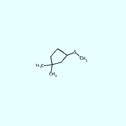 CSC1CCC(C)(C)C1